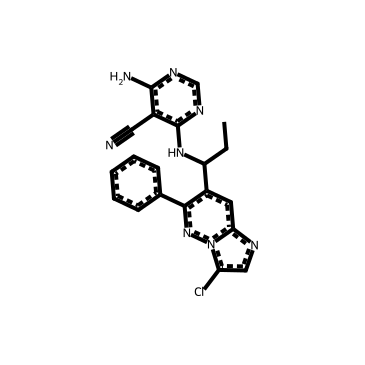 CCC(Nc1ncnc(N)c1C#N)c1cc2ncc(Cl)n2nc1-c1ccccc1